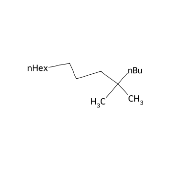 CCCCCCCCCC(C)(C)CCCC